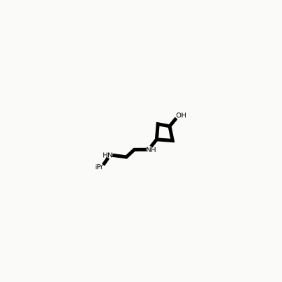 CC(C)NCCNC1CC(O)C1